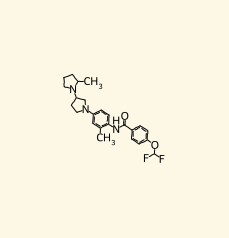 Cc1cc(N2CCC(N3CCCC3C)C2)ccc1NC(=O)c1ccc(OC(F)F)cc1